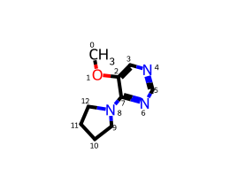 COc1cn[c]nc1N1CCCC1